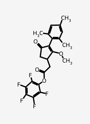 COC1=C(c2c(C)cc(C)cc2C)C(=O)CC1CC(=O)Oc1c(F)c(F)c(F)c(F)c1F